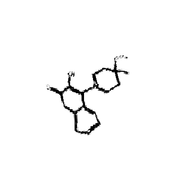 COC1(C)CCN(C2=C(C#N)C(=O)Cc3ccccc32)CC1